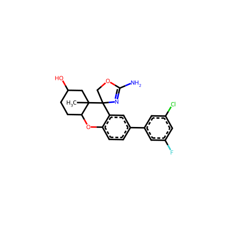 CC12CC(O)CCC1Oc1ccc(-c3cc(F)cc(Cl)c3)cc1C21COC(N)=N1